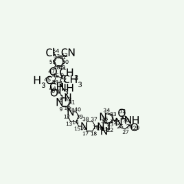 CC1(C)[C@H](NC(=O)c2ncc(N3CCC(CN4CCC(n5ncc6c(N7CCC(=O)NC7=O)ccnc65)CC4)CC3)cn2)C(C)(C)[C@H]1Oc1ccc(C#N)c(Cl)c1